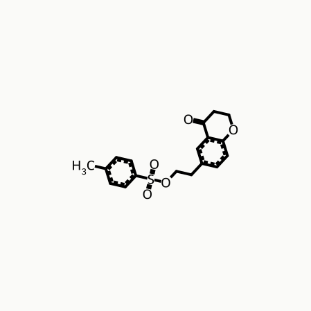 Cc1ccc(S(=O)(=O)OCCc2ccc3c(c2)C(=O)CCO3)cc1